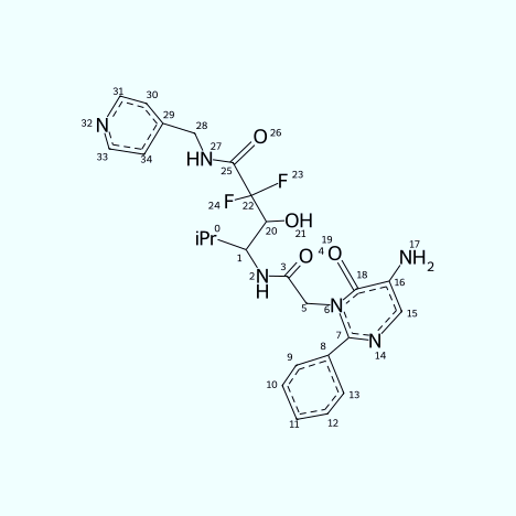 CC(C)C(NC(=O)Cn1c(-c2ccccc2)ncc(N)c1=O)C(O)C(F)(F)C(=O)NCc1ccncc1